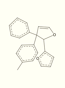 Cc1ccc(C2(c3ccccc3)C=COC2c2ccco2)cc1